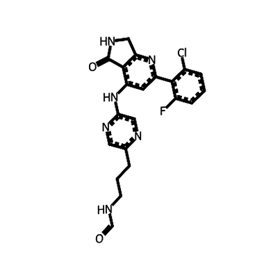 O=CNCCCc1cnc(Nc2cc(-c3c(F)cccc3Cl)nc3c2C(=O)NC3)cn1